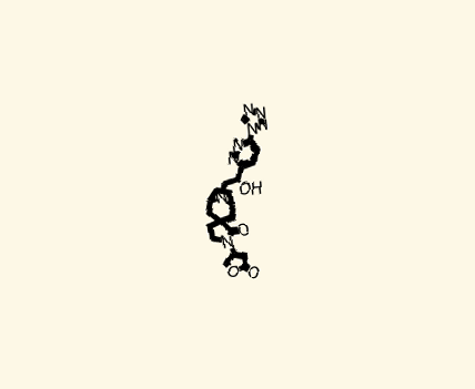 O=C1C=C(N2CCC3(CC4CCC(C3)N4C[C@H](O)c3ccc(-n4cnnn4)nn3)C2=O)CO1